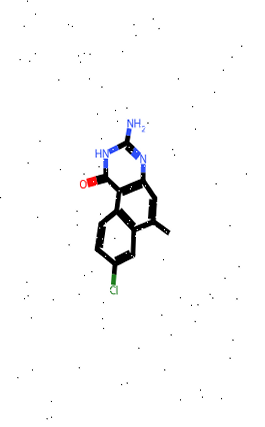 Cc1cc2nc(N)[nH]c(=O)c2c2ccc(Cl)cc12